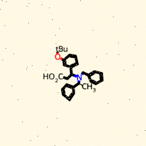 C[C@H](c1ccccc1)N(Cc1ccccc1)C(CC(=O)O)c1cccc(OC(C)(C)C)c1